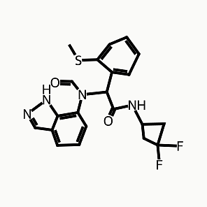 CSc1ccccc1C(C(=O)NC1CC(F)(F)C1)N(C=O)c1cccc2cn[nH]c12